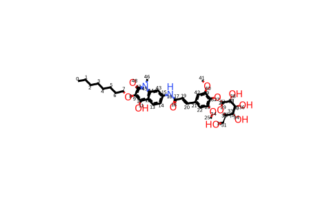 CCCCCCCCOc1c(O)c2ccc(NC(=O)C=Cc3cc(OC)c(O[C@@H]4O[C@H](CO)[C@@H](O)[C@H](O)[C@H]4O)c(OC)c3)cc2n(C)c1=O